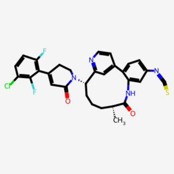 C[C@@H]1CCC[C@H](N2CCC(c3c(F)ccc(Cl)c3F)=CC2=O)c2cc(ccn2)-c2ccc(N=C=S)cc2NC1=O